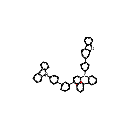 c1ccc(-c2ccccc2N(c2ccc(-c3cccc(-c4ccc(-n5c6ccccc6c6ccccc65)cc4)c3)cc2)c2ccc(-c3ccc4c(c3)oc3ccccc34)cc2)cc1